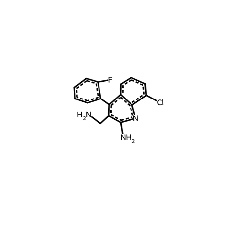 NCc1c(N)nc2c(Cl)cccc2c1-c1ccccc1F